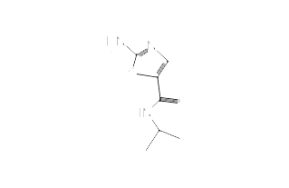 CC(C)NC(=O)c1cnc(N)s1